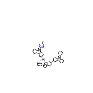 C=C/C=C\C(=C/C)n1c2ccccc2c2cc(/C(C)=C/c3c(CC)oc4ccc(-c5ccc6c(c5)c5ccccc5n6-c5ccccc5)cc34)ccc21